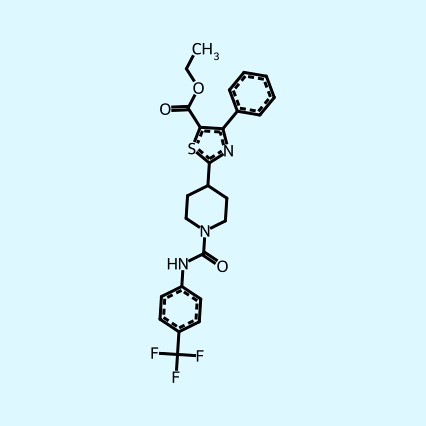 CCOC(=O)c1sc(C2CCN(C(=O)Nc3ccc(C(F)(F)F)cc3)CC2)nc1-c1ccccc1